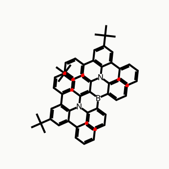 CC(C)(C)c1cc(-c2ccccc2)c(N2c3ccccc3B3c4ccccc4N(c4c(-c5ccccc5)cc(C(C)(C)C)cc4-c4ccccc4)c4cc(C(C)(C)C)cc2c43)c(-c2ccccc2)c1